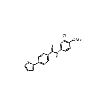 COc1ccc(NC(=O)c2ccc(-c3cccs3)cc2)cc1O